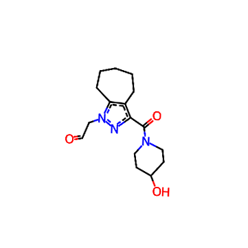 O=CCn1nc(C(=O)N2CCC(O)CC2)c2c1CCCCC2